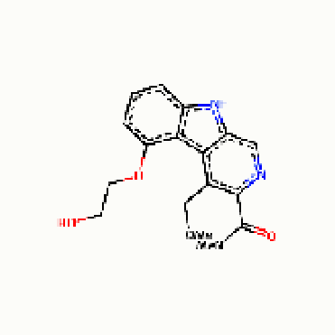 CNC(=O)c1ncc2[nH]c3cccc(OCCO)c3c2c1COC